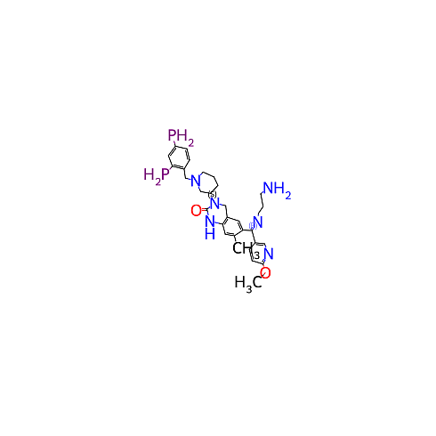 COc1ccc(/C(=N/CCCN)c2cc3c(cc2C)NC(=O)N([C@H]2CCCN(Cc4ccc(P)cc4P)C2)C3)cn1